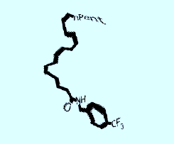 CCCCC/C=C\C/C=C\C/C=C\C/C=C\CCCC(=O)NCc1ccc(C(F)(F)F)cc1